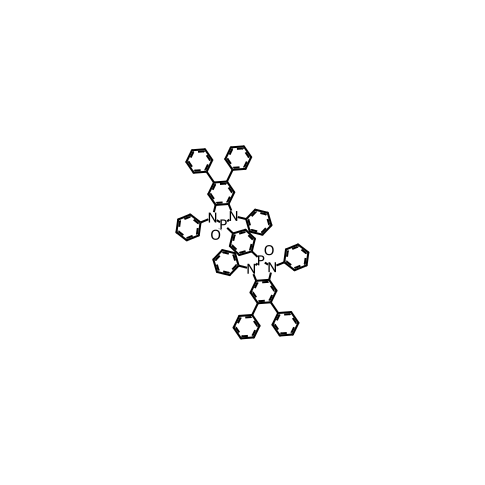 O=P1(c2ccc(P3(=O)N(c4ccccc4)c4cc(-c5ccccc5)c(-c5ccccc5)cc4N3c3ccccc3)cc2)N(c2ccccc2)c2cc(-c3ccccc3)c(-c3ccccc3)cc2N1c1ccccc1